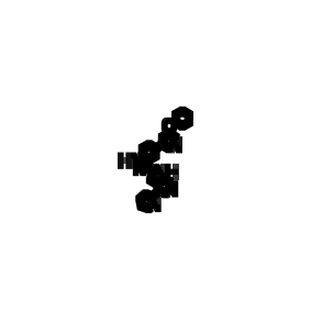 c1ccc(-c2cncc3[nH]c(-c4n[nH]c5ccc(-c6cncc(OC7CCCCC7)c6)cc45)cc23)nc1